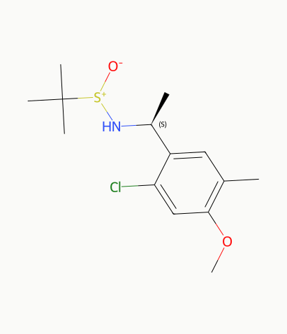 COc1cc(Cl)c([C@H](C)N[S+]([O-])C(C)(C)C)cc1C